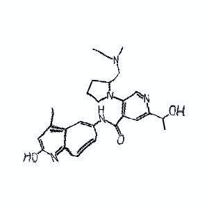 Cc1cc(O)nc2ccc(NC(=O)c3cc(C(C)O)ncc3N3CCCC3CN(C)C)cc12